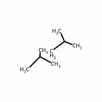 C[C](C)C.C[C](C)C